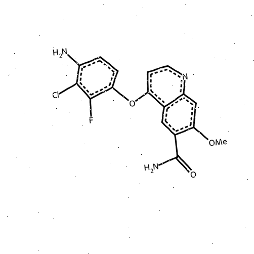 COc1cc2nccc(Oc3ccc(N)c(Cl)c3F)c2cc1C(N)=O